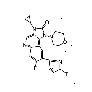 O=c1n(C2CC2)c2cnc3cc(F)c(-c4ccc(F)nc4)cc3c2n1N1CCOCC1